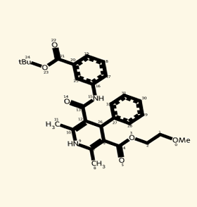 COCCOC(=O)C1=C(C)NC(C)=C(C(=O)Nc2cccc(C(=O)OC(C)(C)C)c2)C1c1ccccc1